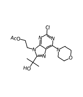 CC(=O)OCCn1c(C(C)(C)O)nc2c(N3CCOCC3)nc(Cl)nc21